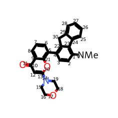 CNc1ccc(-c2cccc3c(=O)cc(N4CCOCC4)oc23)c2c1-c1ccccc1C2